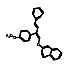 COc1ccc(C(C=Cc2ccccc2)=COc2ccc3ccccc3c2)cc1